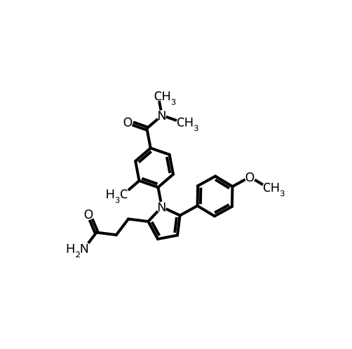 COc1ccc(-c2ccc(CCC(N)=O)n2-c2ccc(C(=O)N(C)C)cc2C)cc1